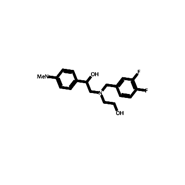 CNc1ccc(C(O)CN(CCO)Cc2ccc(F)c(F)c2)cc1